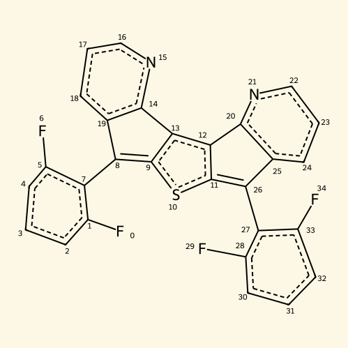 Fc1cccc(F)c1C1=c2sc3c(c2-c2ncccc21)-c1ncccc1C=3c1c(F)cccc1F